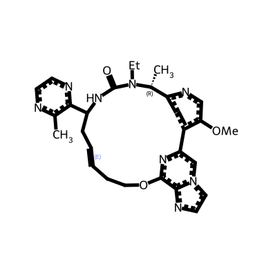 CCN1C(=O)NC(c2nccnc2C)C/C=C/CCOc2nc(cn3ccnc23)-c2cc(ncc2OC)[C@H]1C